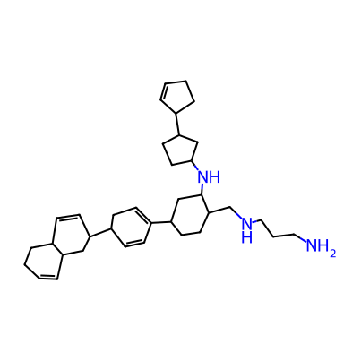 NCCCNCC1CCC(C2=CCC(C3C=CC4CCC=CC4C3)C=C2)CC1NC1CCC(C2C=CCC2)C1